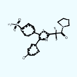 NS(=O)(=O)c1ccc(-c2sc(C(F)(F)C(=O)N3CCCC3)nc2-c2ccc(Cl)cc2)cc1